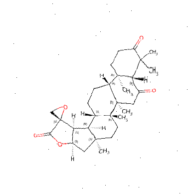 CC1(C)C(=O)CC[C@]2(C)[C@H]3CC[C@H]4[C@@H]5[C@H]6[C@@H](C[C@]5(C)CC[C@@]4(C)[C@]3(C)CC(=O)[C@@H]12)OC(=O)[C@@]61CO1